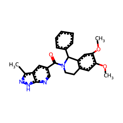 COc1cc2c(cc1OC)C(c1ccccc1)N(C(=O)c1cnc3[nH]nc(C)c3c1)CC2